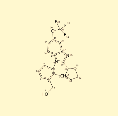 Cc1c(CO)cccc1-n1c([C@H]2CCCO2)nc2cc(OC(F)(F)F)ccc21